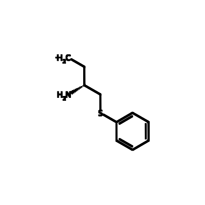 [CH2]C[C@@H](N)CSc1ccccc1